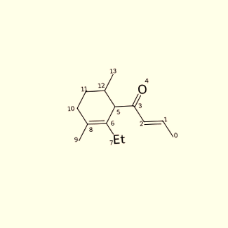 C/C=C/C(=O)C1C(CC)=C(C)CCC1C